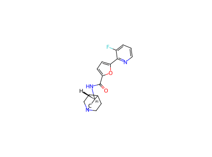 O=C(N[C@H]1CN2CCC1CC2)c1ccc(-c2ncccc2F)o1